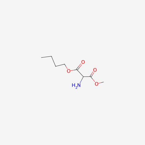 CCCCOC(=O)C(N)C(=O)OC